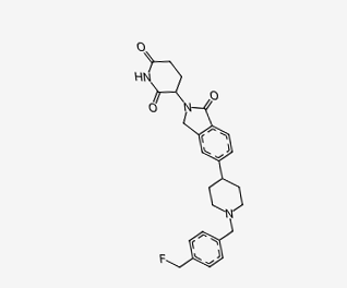 O=C1CCC(N2Cc3cc(C4CCN(Cc5ccc(CF)cc5)CC4)ccc3C2=O)C(=O)N1